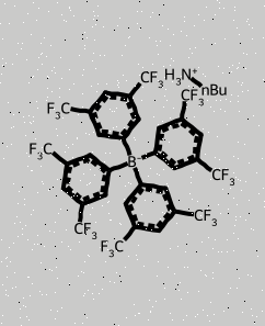 CCCC[NH3+].FC(F)(F)c1cc([B-](c2cc(C(F)(F)F)cc(C(F)(F)F)c2)(c2cc(C(F)(F)F)cc(C(F)(F)F)c2)c2cc(C(F)(F)F)cc(C(F)(F)F)c2)cc(C(F)(F)F)c1